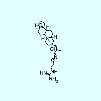 CC(C=NOCCNC(=N)N)=C[C@]1(O)CC[C@@]2(C)[C@H](CC[C@@H]3[C@@H]2CC[C@]2(C)CCC[C@]32O)C1